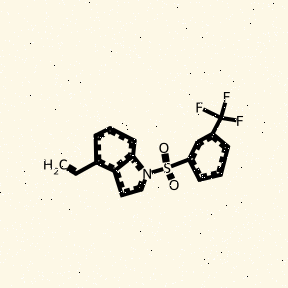 C=Cc1cccc2c1ccn2S(=O)(=O)c1cccc(C(F)(F)F)c1